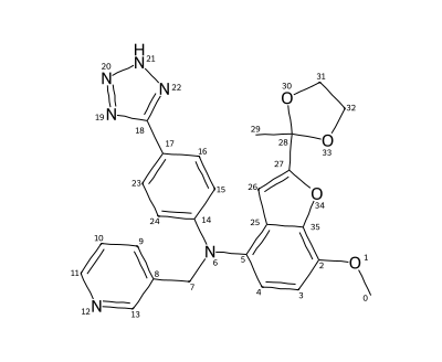 COc1ccc(N(Cc2cccnc2)c2ccc(-c3nn[nH]n3)cc2)c2cc(C3(C)OCCO3)oc12